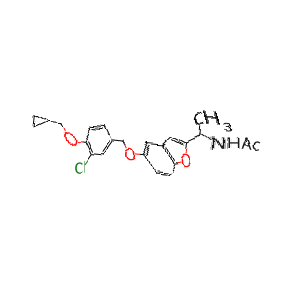 CC(=O)NC(C)c1cc2cc(OCc3ccc(OCC4CC4)c(Cl)c3)ccc2o1